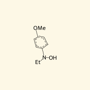 CCN(O)c1ccc(OC)cc1